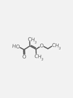 CCO/C(C)=C(\C)C(=O)O